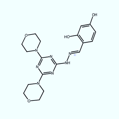 Oc1ccc(/C=N/Nc2nc(N3CCOCC3)nc(N3CCOCC3)n2)c(O)c1